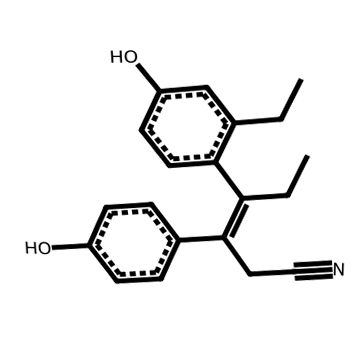 CCC(=C(CC#N)c1ccc(O)cc1)c1ccc(O)cc1CC